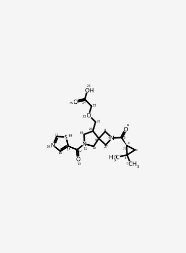 CC1(C)C[C@@H]1C(=O)N1CC2(CN(C(=O)c3cncs3)CC2COCC(=O)O)C1